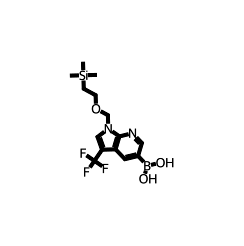 C[Si](C)(C)CCOCn1cc(C(F)(F)F)c2cc(B(O)O)cnc21